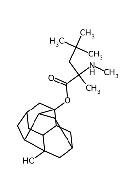 CNC(C)(CC(C)(C)C)C(=O)OC12CC3CC4C1CC1CC2C(C3)C4(O)C1